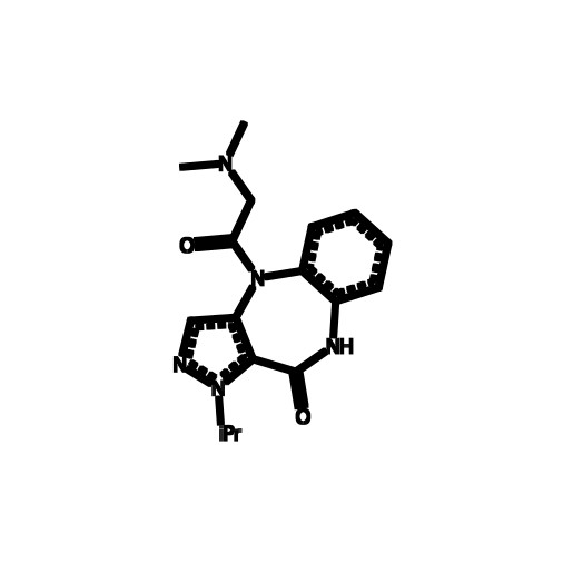 CC(C)n1ncc2c1C(=O)Nc1ccccc1N2C(=O)CN(C)C